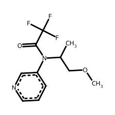 COCC(C)N(C(=O)C(F)(F)F)c1[c]ccnc1